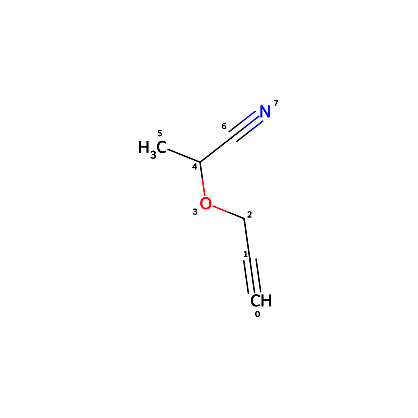 C#CCOC(C)C#N